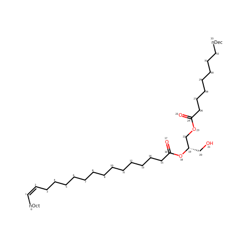 CCCCCCCC/C=C\CCCCCCCCCCCCCC(=O)O[C@@H](CO)COC(=O)CCCCCCCCCCCCCCCCC